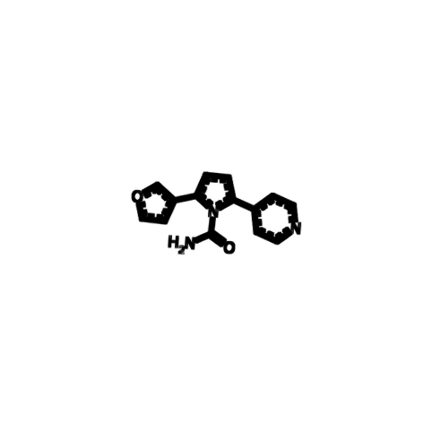 NC(=O)n1c(-c2ccncc2)ccc1-c1ccoc1